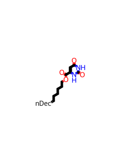 CCCCCCCCCCCCCCCCOC(=O)c1cc(=O)[nH]c(=O)[nH]1